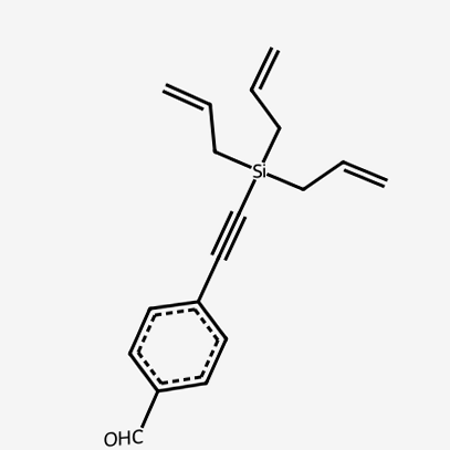 C=CC[Si](C#Cc1ccc(C=O)cc1)(CC=C)CC=C